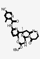 Cc1cc(C#N)cnc1C(=O)Nc1ccc(F)c([C@@]2(C)CC3=NSCCC(=O)N3C(NC(=O)OC(C)(C)C)=N2)n1